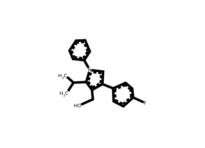 CC(C)c1c(CO)c(-c2ccc(F)cc2)cn1-c1ccccc1